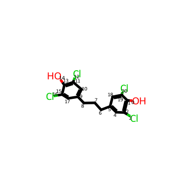 Oc1c(Cl)cc(CCCc2cc(Cl)c(O)c(Cl)c2)cc1Cl